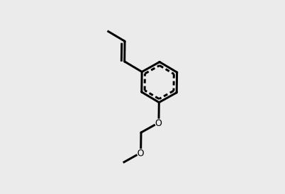 CC=Cc1cccc(OCOC)c1